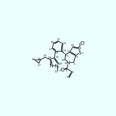 C=CC(=O)N1Cc2sc(Cl)cc2[C@H](c2ccccc2-c2cn(C)nc2CC2CC2)C1